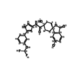 O=C1O[C@]2(CC[C@](O)(C(=O)Nc3cc(-c4cccc(OC(F)F)c4)[nH]n3)CC2)c2c[n+]([O-])ccc21